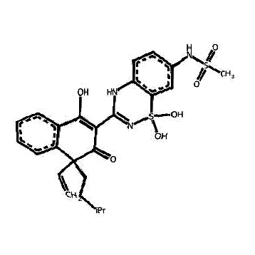 C=CC1(CCC(C)C)C(=O)C(C2=NS(O)(O)c3cc(NS(C)(=O)=O)ccc3N2)=C(O)c2ccccc21